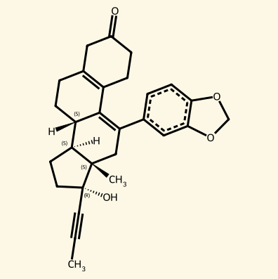 CC#C[C@@]1(O)CC[C@H]2[C@@H]3CCC4=C(CCC(=O)C4)C3=C(c3ccc4c(c3)OCO4)C[C@@]21C